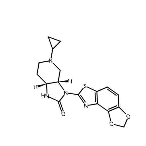 O=C1N[C@@H]2CCN(C3CC3)C[C@@H]2N1c1nc2c3c(ccc2s1)OCO3